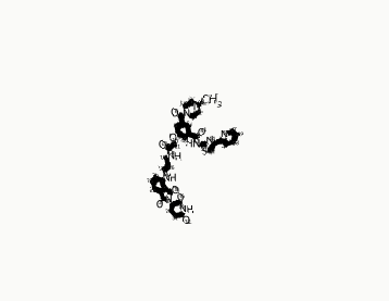 CN1CCN(C(=O)c2cc(OCC(=O)NCCCNc3cccc4c3C(=O)N(C3CCC(=O)NC3=O)C4=O)cc(C(=O)Nc3nc(-c4ccccn4)cs3)c2)CC1